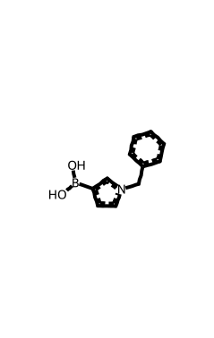 OB(O)c1ccn(Cc2ccccc2)c1